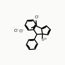 CC(C)C1=CC=C[C]1([Ti+3])C(c1ccccc1)c1ccccc1.[Cl-].[Cl-].[Cl-]